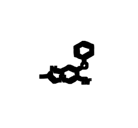 Cc1cn2cc(Br)c(Oc3ccccc3)cc2n1